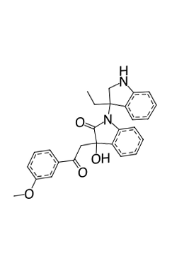 CCC1(N2C(=O)C(O)(CC(=O)c3cccc(OC)c3)c3ccccc32)CNc2ccccc21